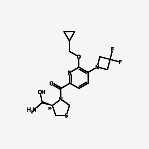 NC(O)[C@@H]1CSCN1C(=O)c1ccc(N2CC(F)(F)C2)c(OCC2CC2)n1